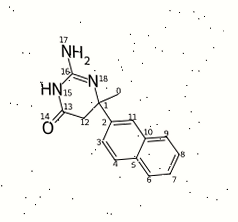 CC1(c2ccc3ccccc3c2)CC(=O)NC(N)=N1